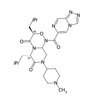 CC(C)C[C@H]1ON(C(=O)c2cn3cnnc3cn2)C2CN(C3CCN(C)CC3)C(=O)[C@H](CC(C)C)N2C1=O